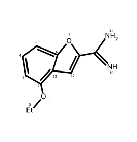 CCOc1cccc2oc(C(=N)N)cc12